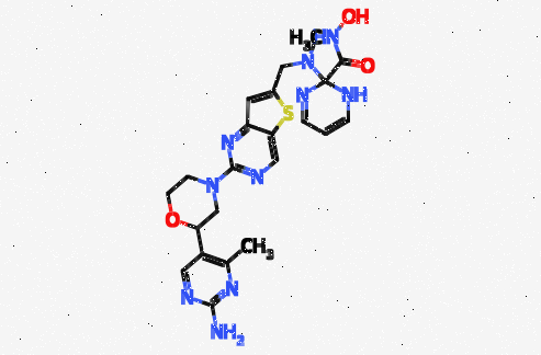 Cc1nc(N)ncc1C1CN(c2ncc3sc(CN(C)C4(C(=O)NO)N=CC=CN4)cc3n2)CCO1